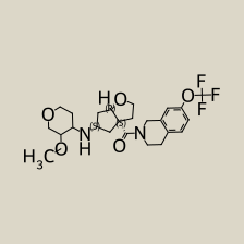 COC1COCCC1N[C@@H]1C[C@H]2OCC[C@@]2(C(=O)N2CCc3ccc(OC(F)(F)F)cc3C2)C1